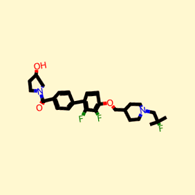 CC(C)(F)CN1CCC(COc2ccc(-c3ccc(C(=O)N4CCC(O)C4)cc3)c(F)c2F)CC1